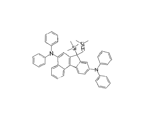 C[SiH](C)CC1([Si](C)(C)C)c2cc(N(c3ccccc3)c3ccccc3)ccc2-c2c1cc(N(c1ccccc1)c1ccccc1)c1ccccc21